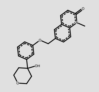 Cn1c(=O)ccc2cc(COc3cccc(C4(O)CCOCC4)c3)ccc21